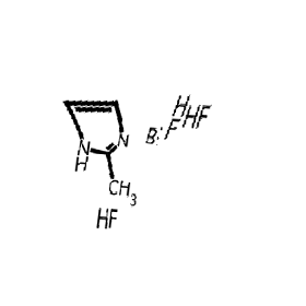 Cc1ncc[nH]1.F.F.F.[B]